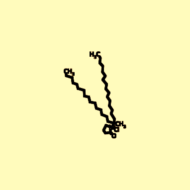 CCCCCCCCCCCCCCCCC(C)(CCCCCCCCCCCCCCCC)[N+]1(Cl)CCCC1=O